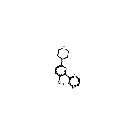 FC(F)(F)c1ccc(N2CCOCC2)nc1-c1cnccn1